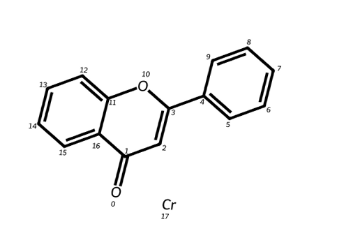 O=c1cc(-c2ccccc2)oc2ccccc12.[Cr]